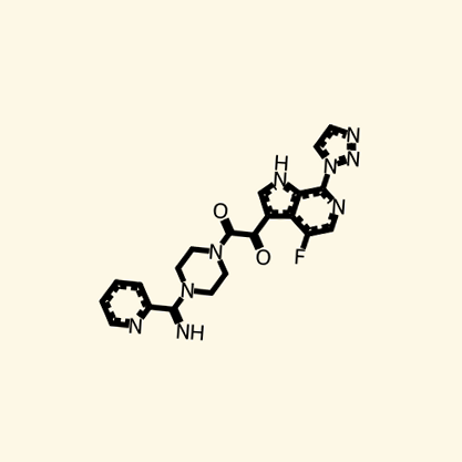 N=C(c1ccccn1)N1CCN(C(=O)C(=O)c2c[nH]c3c(-n4ccnn4)ncc(F)c23)CC1